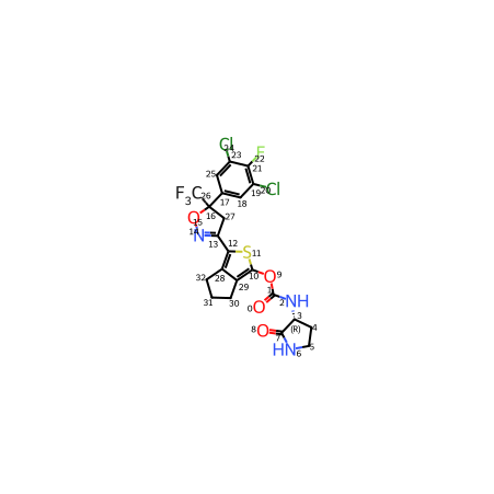 O=C(N[C@@H]1CCNC1=O)Oc1sc(C2=NOC(c3cc(Cl)c(F)c(Cl)c3)(C(F)(F)F)C2)c2c1CCC2